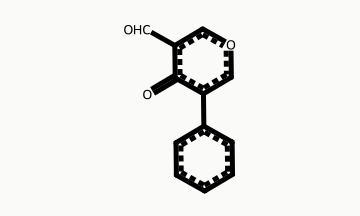 O=Cc1cocc(-c2ccccc2)c1=O